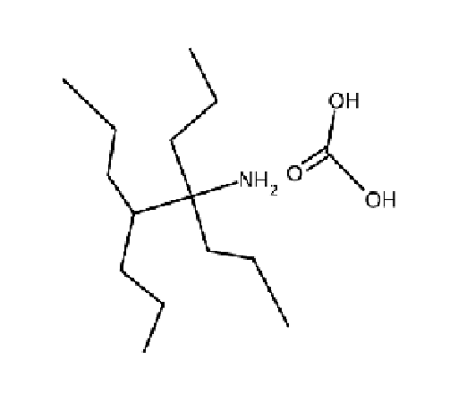 CCCC(CCC)C(N)(CCC)CCC.O=C(O)O